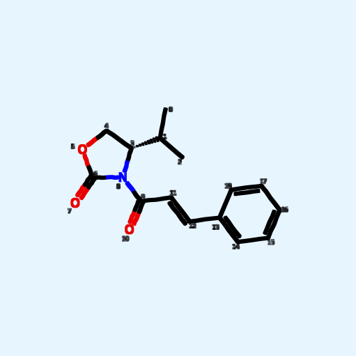 CC(C)[C@H]1COC(=O)N1C(=O)/C=C/c1ccccc1